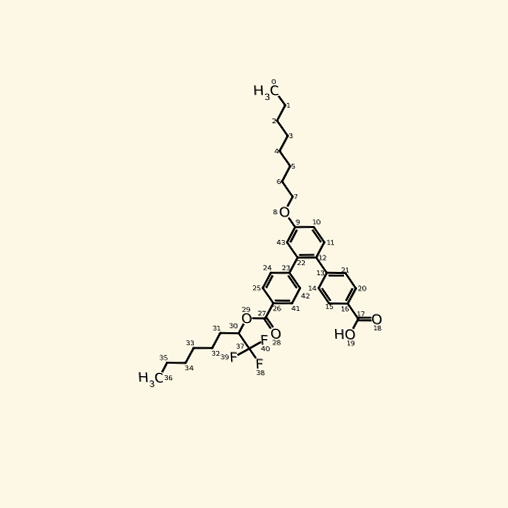 CCCCCCCCOc1ccc(-c2ccc(C(=O)O)cc2)c(-c2ccc(C(=O)OC(CCCCCC)C(F)(F)F)cc2)c1